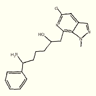 Cn1ncc2cc(Cl)nc(CC(O)CCCC(N)c3ccccc3)c21